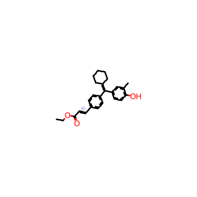 CCOC(=O)/C=C/c1ccc(C(=C2CCCCC2)c2ccc(O)c(C)c2)cc1